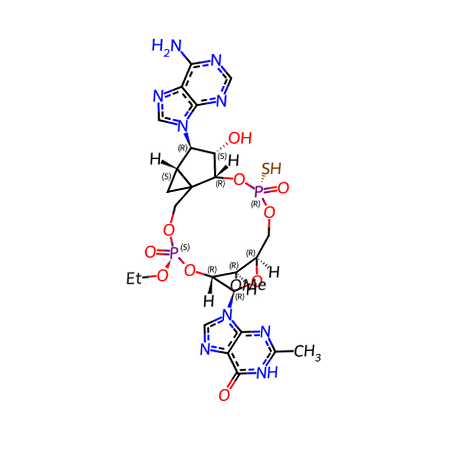 CCO[P@@]1(=O)OCC23C[C@@H]2[C@@H](n2cnc4c(N)ncnc42)[C@H](O)[C@@H]3O[P@](=O)(S)OC[C@H]2O[C@@H](n3cnc4c(=O)[nH]c(C)nc43)[C@H](O1)[C@@H]2OC